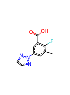 Cc1cc(-n2nccn2)cc(C(=O)O)c1F